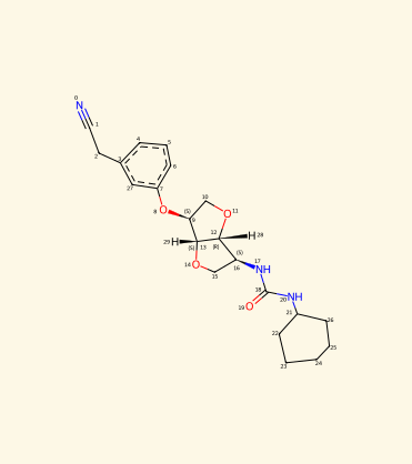 N#CCc1cccc(O[C@H]2CO[C@H]3[C@@H]2OC[C@@H]3NC(=O)NC2CCCCC2)c1